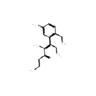 CCCC(=O)/C(C)=C(\CC)c1cc(C)ccc1CC